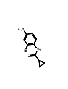 O=C(Nc1ccc([N+](=O)[O-])cc1Br)C1CC1